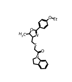 CCOc1ccc(C2=NC(CSCC(=O)N3CCc4ccccc43)C(C)O2)cc1